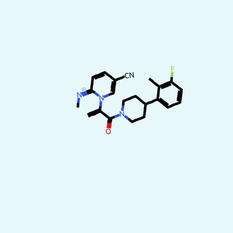 C=C(C(=O)N1CCC(c2cccc(F)c2C)CC1)n1cc(C#N)cc/c1=N/C